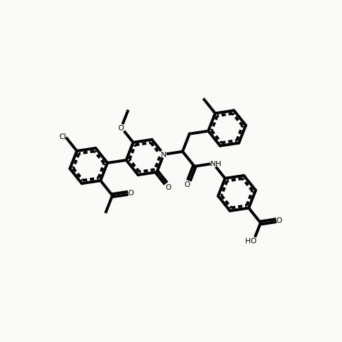 COc1cn(C(Cc2ccccc2C)C(=O)Nc2ccc(C(=O)O)cc2)c(=O)cc1-c1cc(Cl)ccc1C(C)=O